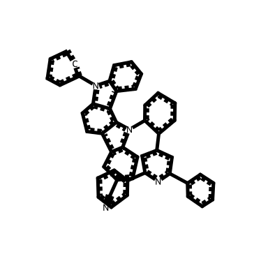 N#Cc1ccc2c(c1)c1ccc3c(c4ccccc4n3-c3ccccc3)c1n2-c1ccccc1-c1cc(-c2ccccc2)nc(-c2ccccc2)c1